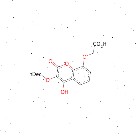 CCCCCCCCCCOc1c(O)c2cccc(OCC(=O)O)c2oc1=O